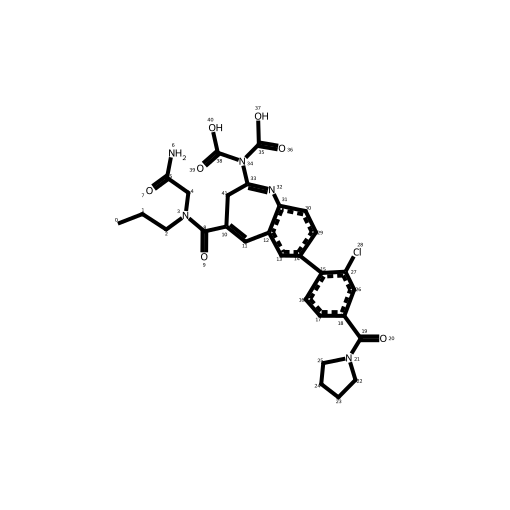 CCCN(CC(N)=O)C(=O)C1=Cc2cc(-c3ccc(C(=O)N4CCCC4)cc3Cl)ccc2N=C(N(C(=O)O)C(=O)O)C1